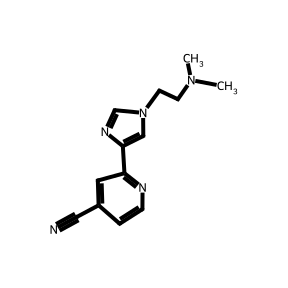 CN(C)CCn1cnc(-c2cc(C#N)ccn2)c1